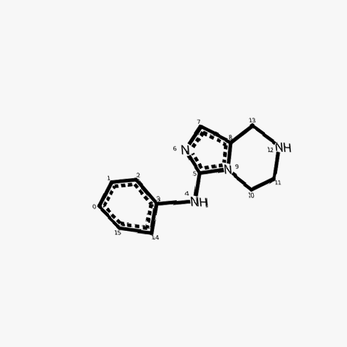 c1ccc(Nc2ncc3n2CCNC3)cc1